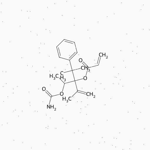 C=CC(=O)OC(C(=C)C)(C(C)OC(N)=O)C(C)(C)c1ccccc1